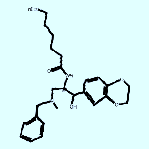 CCCCCCCCCCCCCCCC(=O)N[C@H](CN(C)Cc1ccccc1)C(O)c1ccc2c(c1)OCCO2